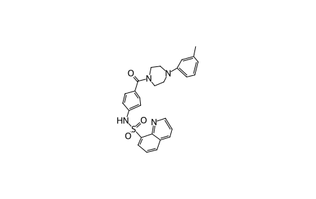 Cc1cccc(N2CCN(C(=O)c3ccc(NS(=O)(=O)c4cccc5cccnc45)cc3)CC2)c1